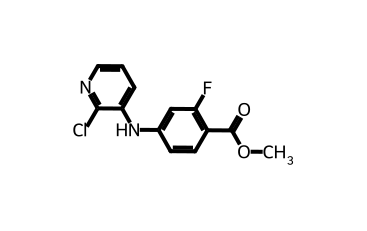 COC(=O)c1ccc(Nc2cccnc2Cl)cc1F